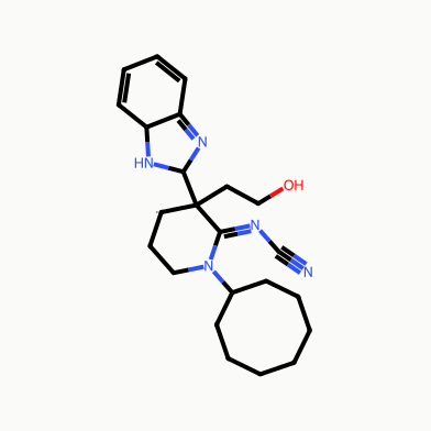 N#CN=C1N(C2CCCCCCC2)CC[CH]C1(CCO)C1N=C2C=CC=CC2N1